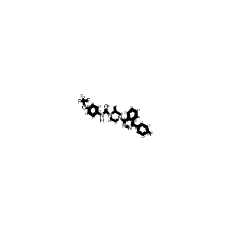 CC1CN(c2nnc(-c3ccc(F)cc3)c3ccccc23)CCN1C(=O)Nc1ccc(OC(F)(F)F)cc1